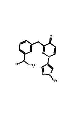 CCCn1cc(-n2ccc(=O)c(Cc3cccc(N(CC)C(=O)O)c3)n2)cn1